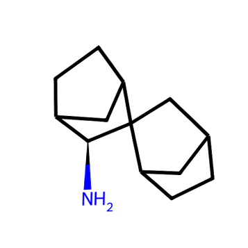 N[C@H]1C2CCC(C2)C12CC1CCC2C1